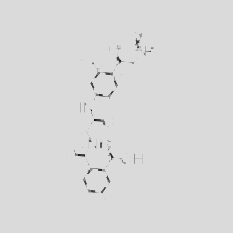 O=C(CNC(=O)c1ccccc1C(=O)O)Nc1ccc(C(=O)C[N+](=O)[O-])c(Cl)c1